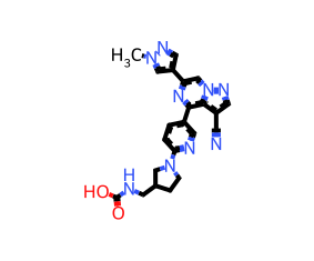 Cn1cc(-c2cn3ncc(C#N)c3c(-c3ccc(N4CCC(CNC(=O)O)C4)nc3)n2)cn1